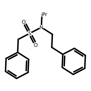 CC(C)N(CCc1ccccc1)S(=O)(=O)Cc1ccccc1